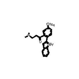 COc1ccc(-c2cc3ccccc3[nH]2)c(C(=O)CCN(C)C)c1